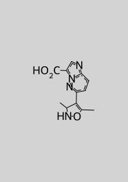 CC1=C(c2ccc3ncc(C(=O)O)n3n2)C(C)NO1